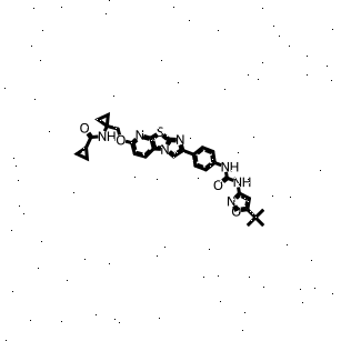 CC(C)(C)c1cc(NC(=O)Nc2ccc(-c3cn4c(n3)sc3nc(OCC5(NC(=O)C6CC6)CC5)ccc34)cc2)no1